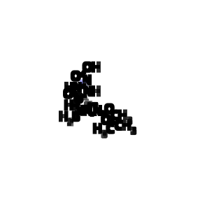 BNPOC(=O)N/C(=N\C(=O)O)NC[C@H]1CCN(C(=O)OC(C)(C)C)C1